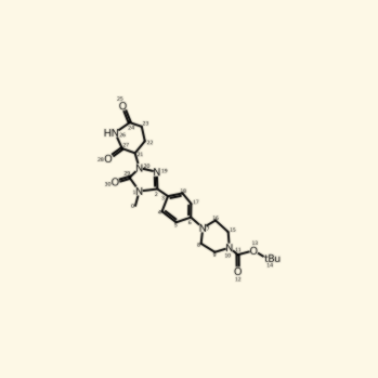 Cn1c(-c2ccc(N3CCN(C(=O)OC(C)(C)C)CC3)cc2)nn(C2CCC(=O)NC2=O)c1=O